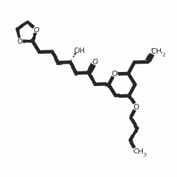 C=CCC1CC(OCCCC)CC(CC(=O)C[C@@H](O)CCCC2OCCO2)O1